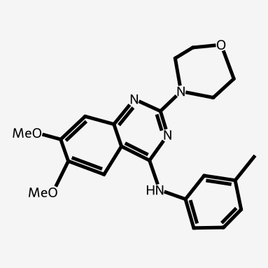 COc1cc2nc(N3CCOCC3)nc(Nc3cccc(C)c3)c2cc1OC